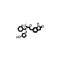 CN(C(=O)Cc1ccc2c(c1)NC(=O)C2)[C@H](CN1CC[C@H](O)C1)C1CCCCC1